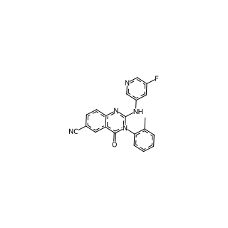 Cc1ccccc1-n1c(Nc2cncc(F)c2)nc2ccc(C#N)cc2c1=O